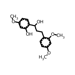 COc1ccc(C(O)CCc2ccc(OC)cc2OC)c(O)c1